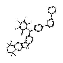 CC1(C)CCC(C)(C)c2cc3c(cc21)oc1ccc(N(c2ccc(-c4cccc(-c5ccccc5)c4)cc2)c2c(F)c(F)c(F)c(F)c2F)cc13